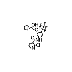 O=C(Nc1ccc(C(F)(F)C(F)(F)F)c(OCC(O)N2CCCC2)c1)c1cccnc1Cl